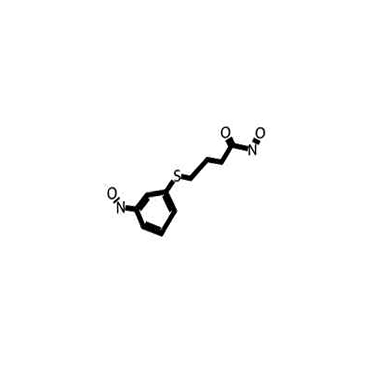 O=NC(=O)CCCSc1cccc(N=O)c1